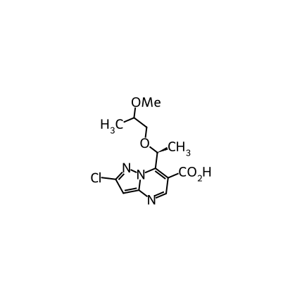 COC(C)CO[C@@H](C)c1c(C(=O)O)cnc2cc(Cl)nn12